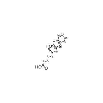 O=C(O)CCCCC(I)CC(=Nc1ccccc1)NO